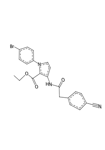 CCOC(=O)c1c(NC(=O)Cc2ccc(C#N)cc2)ccn1-c1ccc(Br)cc1